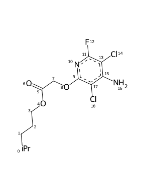 CC(C)CCCOC(=O)COc1nc(F)c(Cl)c(N)c1Cl